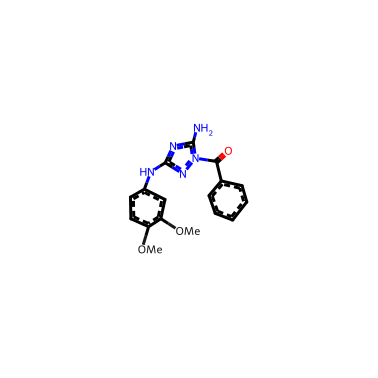 COc1ccc(Nc2nc(N)n(C(=O)c3ccccc3)n2)cc1OC